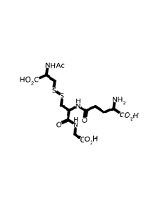 CC(=O)NC(CSSCC(NC(=O)CCC(N)C(=O)O)C(=O)NCC(=O)O)C(=O)O